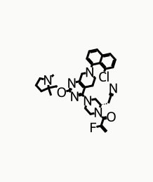 C=C(F)C(=O)N1CCN(c2nc(OCC3(C)CCCN3C)nc3c2CCN(c2cccc4cccc(Cl)c24)C3)C[C@@H]1CC#N